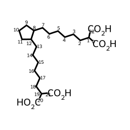 O=C(O)C(CCCCCCC1CCCC1CCCCCCC(C(=O)O)C(=O)O)C(=O)O